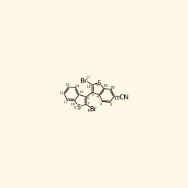 N#Cc1ccc2c(-c3c(Br)sc4ccccc34)c(Br)sc2c1